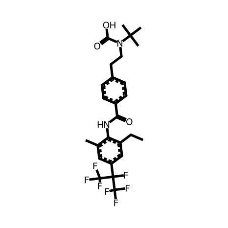 CCc1cc(C(F)(C(F)(F)F)C(F)(F)F)cc(C)c1NC(=O)c1ccc(CCN(C(=O)O)C(C)(C)C)cc1